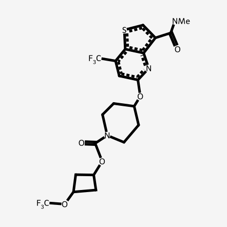 CNC(=O)c1csc2c(C(F)(F)F)cc(OC3CCN(C(=O)OC4CC(OC(F)(F)F)C4)CC3)nc12